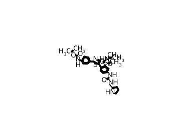 CC(C)OC(=O)Nc1ccc(-c2ncc(-c3ccc(NC(=O)NC[C@H]4CCCN4)cc3S(=O)(=O)NC(C)(C)C)s2)cc1